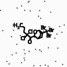 [CH2]CCC(Cl)(Cl)C(=O)[C]1OC2CCC1CC2C(Br)(Br)Br